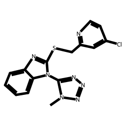 Cn1nnnc1-n1c(SCc2cc(Cl)ccn2)nc2ccccc21